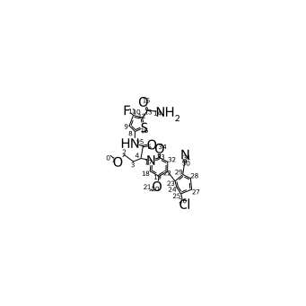 COCCC(C(=O)Nc1cc(F)c(C(N)=O)s1)n1cc(OC)c(-c2cc(Cl)ccc2C#N)cc1=O